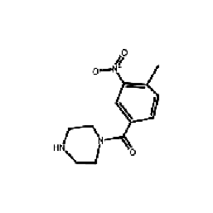 Cc1ccc(C(=O)N2CCNCC2)cc1[N+](=O)[O-]